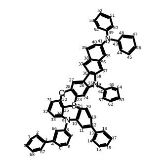 c1ccc(-c2cccc(N3c4cc(-c5ccccc5)ccc4B4c5cc6c(cc5Oc5cccc3c54)c3cc4ccc(N(c5ccccc5)c5ccccc5)cc4cc3n6-c3ccccc3)c2)cc1